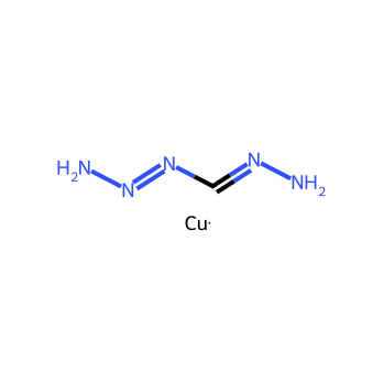 NN=CN=NN.[Cu]